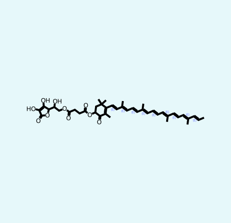 C/C=C/C(C)=C/C=C/C(C)=C/C=C/C=C(C)/C=C/C=C(C)/C=C/C1=C(C)C(=O)C(OC(=O)CCC(=O)OCC(O)C2OC(=O)C(O)=C2O)CC1(C)C